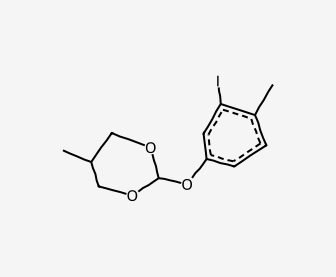 Cc1ccc(OC2OCC(C)CO2)cc1I